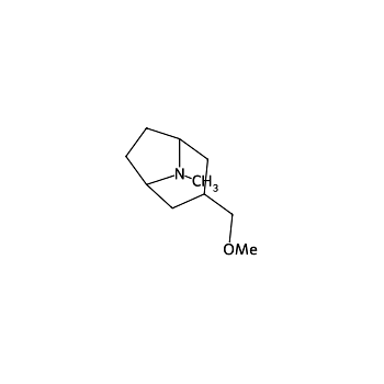 COCC1CC2CCC(C1)N2C